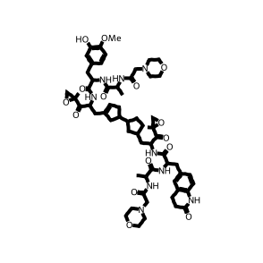 COc1ccc(CC(NC(=O)C(C)NC(=O)CN2CCOCC2)C(=O)NC(CC2=CCC(C3CCC(CC(NC(=O)C(Cc4ccc5c(c4)CCC(=O)N5)NC(=O)C(C)NC(=O)CN4CCOCC4)C(=O)C4(C)CO4)C3)C2)C(=O)C2(C)CO2)cc1O